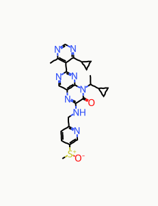 Cc1ncnc(C2CC2)c1-c1ncc2nc(NCc3ccc([S+](C)[O-])cn3)c(=O)n(C(C)C3CC3)c2n1